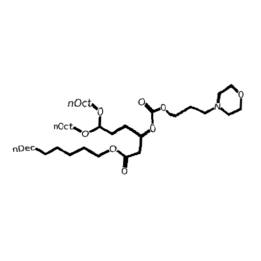 CCCCCCCCCCCCCCCOC(=O)CC(CCC(OCCCCCCCC)OCCCCCCCC)OC(=O)OCCCN1CCOCC1